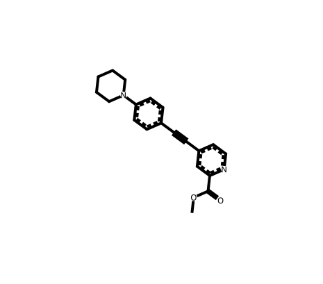 COC(=O)c1cc(C#Cc2ccc(N3CCCCC3)cc2)ccn1